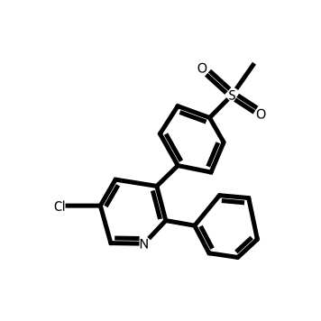 CS(=O)(=O)c1ccc(-c2cc(Cl)cnc2-c2ccccc2)cc1